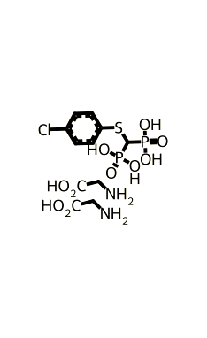 NCC(=O)O.NCC(=O)O.O=P(O)(O)C(Sc1ccc(Cl)cc1)P(=O)(O)O